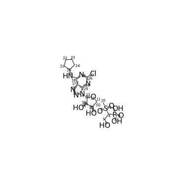 O=P(O)(O)C(CO)S(=O)(=O)C[C@H]1O[C@@H](n2nnc3c(NC4CCCC4)nc(Cl)nc32)[C@H](O)[C@@H]1O